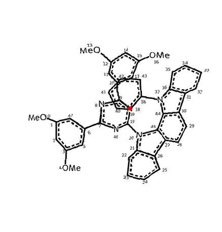 COc1cc(OC)cc(-c2nc(-c3cc(OC)cc(OC)c3)nc(-n3c4ccccc4c4ccc5c6ccccc6n(-c6ccccc6)c5c43)n2)c1